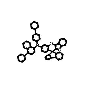 c1ccc(-c2ccc(N(c3ccc4c(c3)Oc3c(oc5ccccc35)C43c4ccccc4-c4ccccc43)c3ccc(-c4ccccc4)c4ccccc34)cc2)cc1